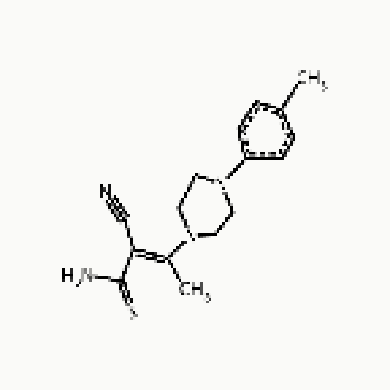 C/C(=C(/C#N)C(N)=S)N1CCN(c2ccc(C)cc2)CC1